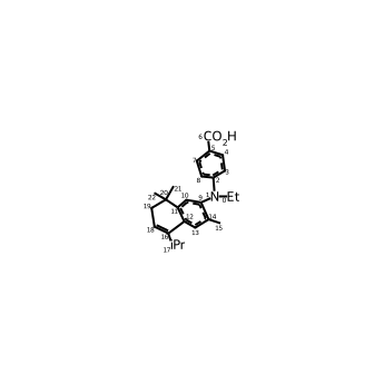 CCN(c1ccc(C(=O)O)cc1)c1cc2c(cc1C)C(C(C)C)=CCC2(C)C